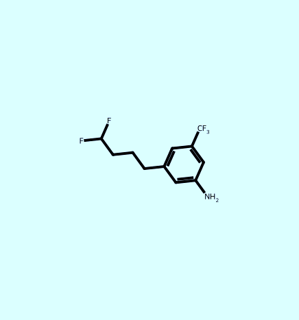 Nc1cc(CCCC(F)F)cc(C(F)(F)F)c1